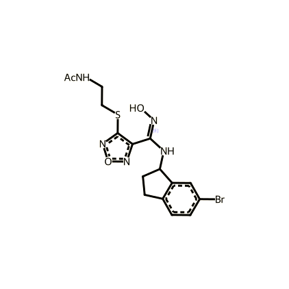 CC(=O)NCCSc1nonc1/C(=N\O)NC1CCc2ccc(Br)cc21